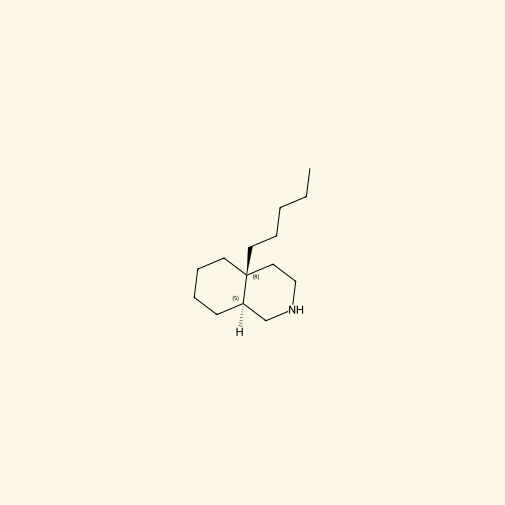 CCCCC[C@]12CCCC[C@@H]1CNCC2